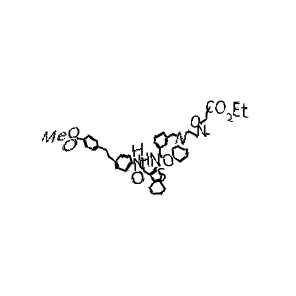 CCOC(=O)CCC(=O)N(C)CCN(Cc1cccc(C(=O)Nc2sc3c(c2C(=O)Nc2ccc(CCc4ccc(C(=O)OC)cc4)cc2)CCCC3)c1)C1CCCCC1